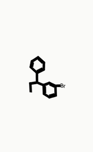 CCC(c1ccccc1)c1cccc(Br)c1